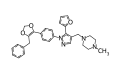 CN1CCN(Cc2cnn(-c3ccc(C4=C(Cc5ccccc5)OCO4)cc3)c2-c2ccco2)CC1